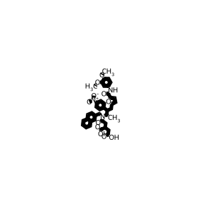 COc1ccc(NC(=O)c2ccc(CC(c3ccc([N+](=O)[O-])cc3)C(C)N(Cc3ccc4ccccc4c3)C(=O)CC(CC(=O)O)C(=O)O)o2)cc1OC